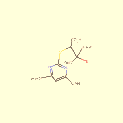 CCCC(C)C(Br)(C(C)CCC)C(Sc1nc(OC)cc(OC)n1)C(=O)O